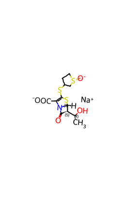 C[C@@H](O)[C@H]1C(=O)N2C(C(=O)[O-])=C(SC3CC[S+]([O-])C3)S[C@H]12.[Na+]